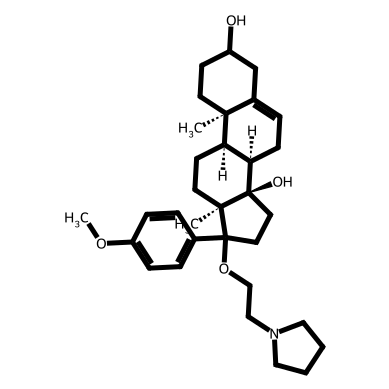 COc1ccc(C2(OCCN3CCCC3)CC[C@@]3(O)[C@@H]4CC=C5CC(O)CC[C@]5(C)[C@@H]4CC[C@]23C)cc1